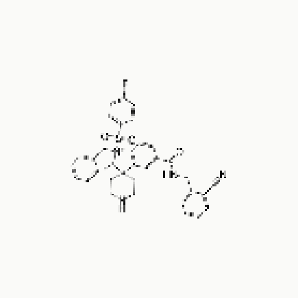 CC1C2(CCNCC2)c2cc(C(=O)NCc3ccccc3C#N)ccc2[N+]1(Cc1ccccc1)S(=O)(=O)c1ccc(F)cc1